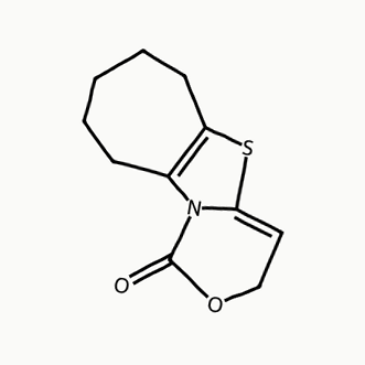 O=C1OCC=C2SC3=C(CCCCC3)N12